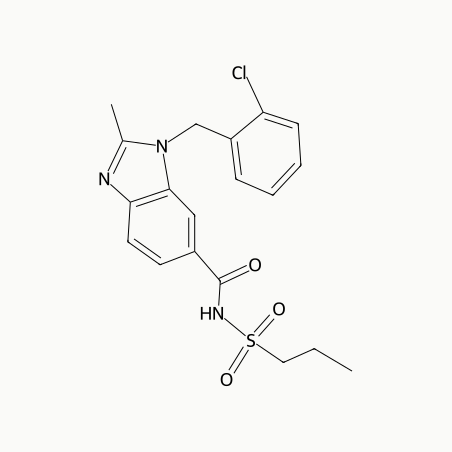 CCCS(=O)(=O)NC(=O)c1ccc2nc(C)n(Cc3ccccc3Cl)c2c1